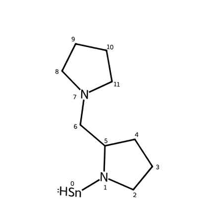 [SnH][N]1CCCC1CN1CCCC1